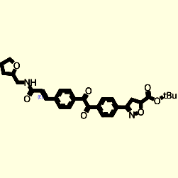 CC(C)(C)OC(=O)C1CC(c2ccc(C(=O)C(=O)c3ccc(/C=C/C(=O)NCC4CCCO4)cc3)cc2)=NO1